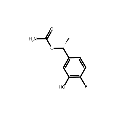 C[C@@H](OC(N)=O)c1ccc(F)c(O)c1